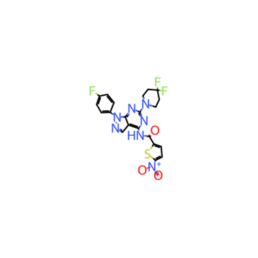 O=C(Nc1nc(N2CCC(F)(F)CC2)nc2c1cnn2-c1ccc(F)cc1)c1ccc([N+](=O)[O-])s1